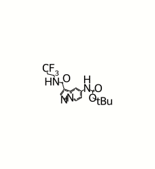 CC(C)(C)OC(=O)Nc1ccn2ncc(C(=O)NCCC(F)(F)F)c2c1